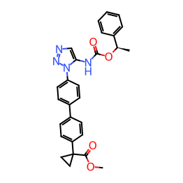 COC(=O)C1(c2ccc(-c3ccc(-n4nncc4NC(=O)O[C@H](C)c4ccccc4)cc3)cc2)CC1